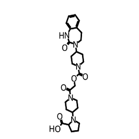 O=C(O)C1CCCN1C1CCN(C(=O)COC(=O)N2CCC(N3CCc4ccccc4NC3=O)CC2)CC1